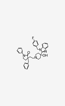 O=C1N(c2ccccc2)CCC1(CCN1CCC(O)(c2nc3ccccc3n2Cc2ccc(F)cc2)CC1)Cc1ccccc1